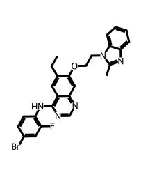 CCc1cc2c(Nc3ccc(Br)cc3F)ncnc2cc1OCCn1c(C)nc2ccccc21